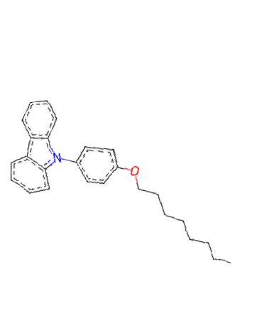 CCCCCCCCOc1ccc(-n2c3ccccc3c3ccccc32)cc1